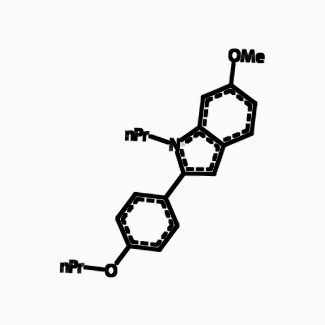 CCCOc1ccc(-c2cc3ccc(OC)cc3n2CCC)cc1